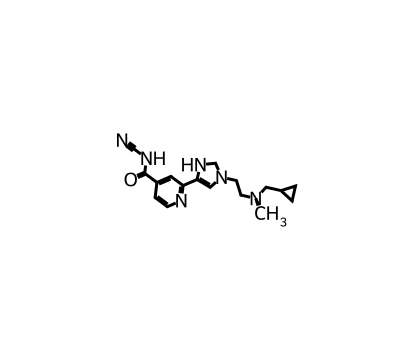 CN(CCN1C=C(c2cc(C(=O)NC#N)ccn2)NC1)CC1CC1